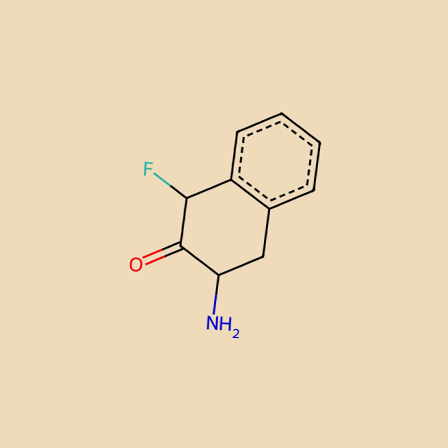 NC1Cc2ccccc2C(F)C1=O